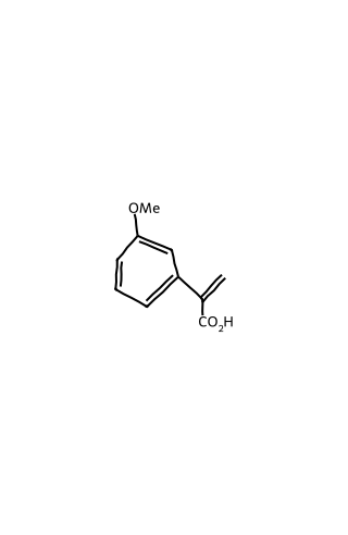 C=C(C(=O)O)c1cccc(OC)c1